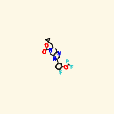 Cc1ncc(-c2ccc(F)c(OC(F)F)c2)nc1CN1CCC2(CC2)OC1=O